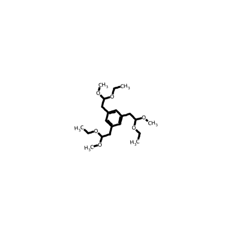 CCOC(Cc1[c]c(CC(OC)OCC)cc(CC(OC)OCC)c1)OC